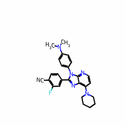 CN(C)c1ccc(-n2c(-c3ccc(C#N)c(F)c3)nc3c(N4CCCCC4)ccnc32)cc1